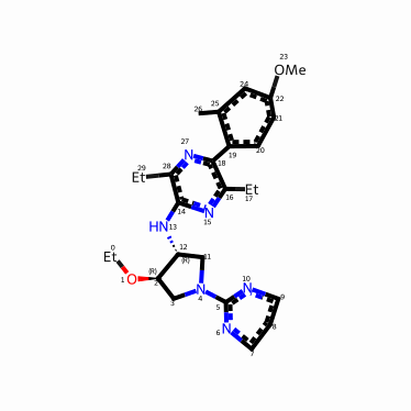 CCO[C@@H]1CN(c2ncccn2)C[C@H]1Nc1nc(CC)c(-c2ccc(OC)cc2C)nc1CC